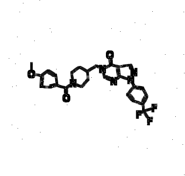 COc1ccc(C(=O)N2CCC(Cn3cnc4c(cnn4-c4ccc(C(F)(F)F)cc4)c3=O)CC2)cc1